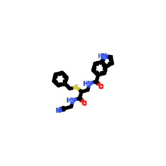 N#CCNC(=O)C(CNC(=O)c1ccc2[nH]ccc2c1)SCc1ccccc1